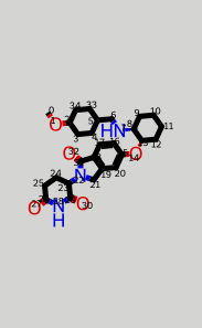 COC1CCC(CN[C@H]2CCCC[C@H]2Oc2ccc3c(c2)CN(C2CCC(=O)NC2=O)C3=O)CC1